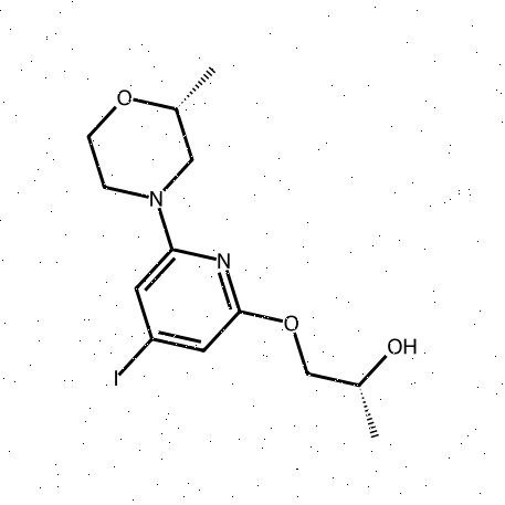 C[C@@H]1CN(c2cc(I)cc(OC[C@@H](C)O)n2)CCO1